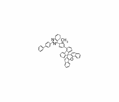 C[C@@H]1C=C(c2cccc3c2-c2ccccc2C32c3ccc4ccccc4c3Oc3c2ccc2ccccc32)C=CC1c1nc(-c2ccc(-c3ccccc3)cc2)nc2c1CCC=C2